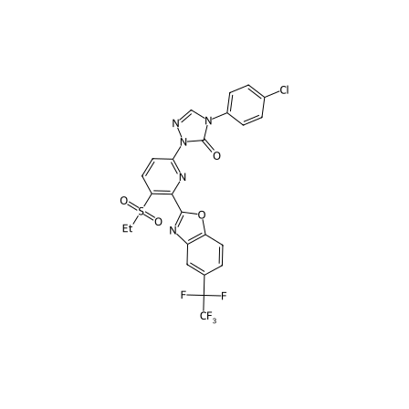 CCS(=O)(=O)c1ccc(-n2ncn(-c3ccc(Cl)cc3)c2=O)nc1-c1nc2cc(C(F)(F)C(F)(F)F)ccc2o1